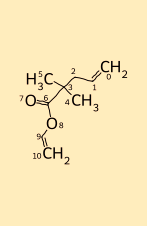 C=CCC(C)(C)C(=O)OC=C